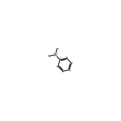 [CH3][Bi]([CH3])[c]1ccccc1